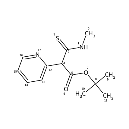 CNC(=S)C(C(=O)OC(C)(C)C)c1ccccn1